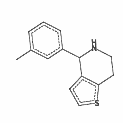 Cc1cccc(C2NCCc3sccc32)c1